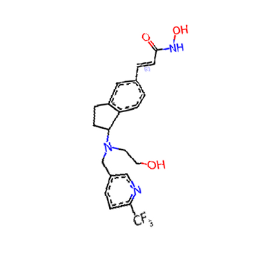 O=C(/C=C/c1ccc2c(c1)CCC2N(CCO)Cc1ccc(C(F)(F)F)nc1)NO